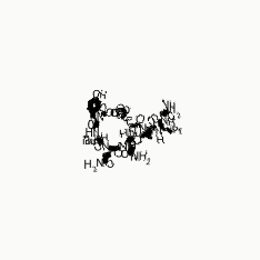 CC[C@H](C)[C@@H]1NC(=O)[C@@H](Cc2ccc(O)cc2)NC(=O)CCS(=O)(=O)CC[C@@H](C(=O)N2CC[C@H]2C(=O)N[C@@H](CC(C)C)C(=O)NCC(N)=O)NC(=O)[C@H](CC(N)=O)NC(=O)[C@H](CCC(N)=O)NC1=O